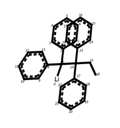 [Li][C](c1ccccc1)(c1ccccc1)C(CC)(c1ccccc1)c1ccccc1